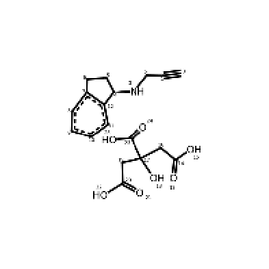 C#CCN[C@@H]1CCc2ccccc21.O=C(O)CC(O)(CC(=O)O)C(=O)O